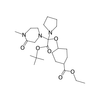 CCOC(=O)C1CCC(OC(C(=O)OC(C)(C)C)(N2CCCC2)N2CCN(C)C(=O)C2)CC1